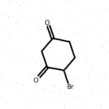 O=C1CCC(Br)C(=O)C1